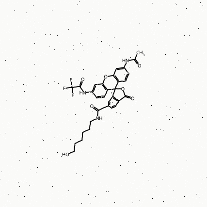 CC(=O)Nc1ccc2c(c1)Oc1cc(NC(=O)C(F)(F)F)ccc1C21OC(=O)c2ccc(C(=O)NCCCCCCO)cc21